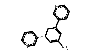 NC1=C[C@H](c2cccnc2)CC(c2cccnc2)=C1